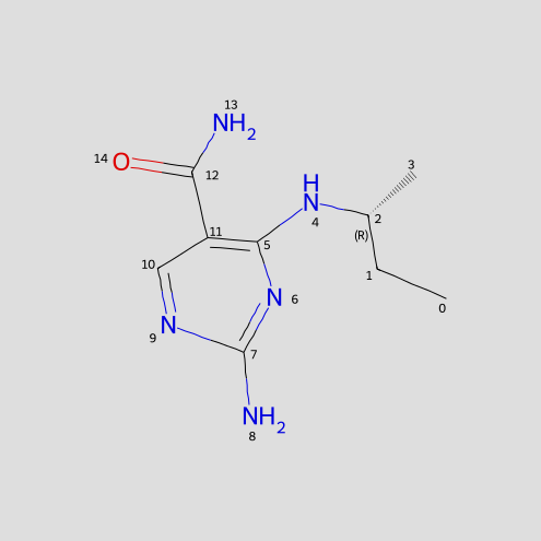 CC[C@@H](C)Nc1nc(N)ncc1C(N)=O